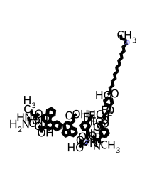 CC/C=C\CCCCCCCCCCCCCC(=O)O.CC1=C(c2cccc(S(=O)(=O)O)c2)C(=O)N=N1.CCC(NC(N)=O)C(=O)O.O=C(O)/C=C\C(=O)Nc1cccc(C(F)(F)F)c1.O=C(O)C(F)(F)Oc1ccccc1.O=C(O)Cc1ccc2c3c(cccc13)CC2.O=C(O)c1cc2ccccc2c2c1ccc1ccccc12